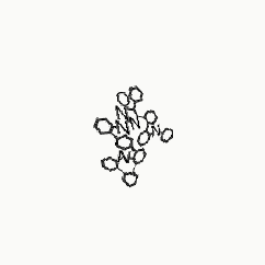 c1ccc(-n2c3ccccc3c3c(-c4nc(-n5c6ccccc6c6cc7c(cc65)c5cccc6c5n7-c5ccccc5-c5ccccc5-6)nc5oc6ccccc6c45)cccc32)cc1